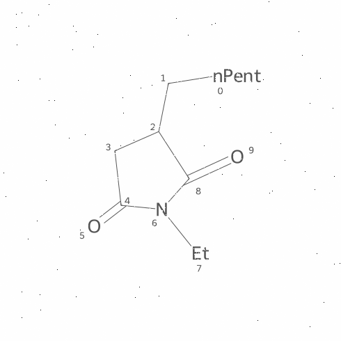 CCCCCCC1CC(=O)N(CC)C1=O